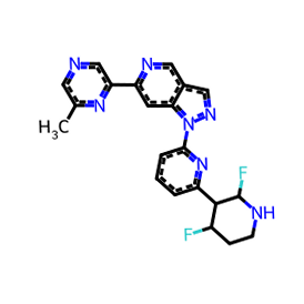 Cc1cncc(-c2cc3c(cn2)cnn3-c2cccc(C3C(F)CCNC3F)n2)n1